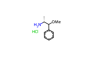 COC(c1ccccc1)[C@@H](C)N.Cl